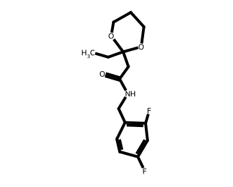 CCC1(CC(=O)NCc2ccc(F)cc2F)OCCCO1